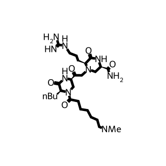 CCCC[C@H]1C(=O)N[C@@H](C(=O)CN2C[C@H](C(N)=O)NC(=O)[C@@H]2CCCNC(=N)N)CN1C(=O)CCCCCCNC